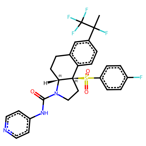 CC(F)(c1ccc2c(c1)CC[C@H]1N(C(=O)Nc3ccncc3)CC[C@@]21S(=O)(=O)c1ccc(F)cc1)C(F)(F)F